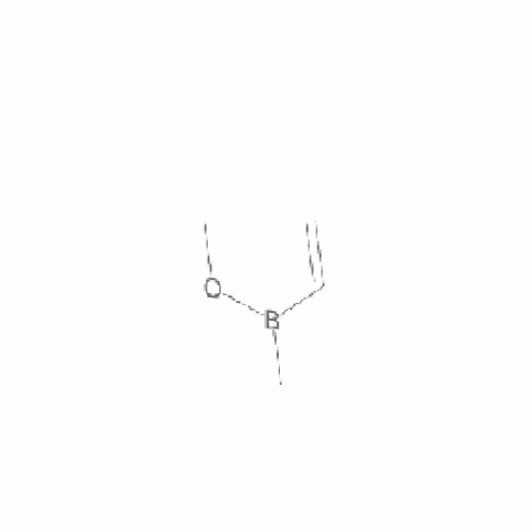 C=CB(C)OC